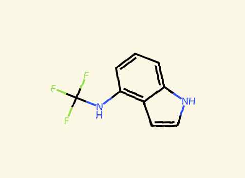 FC(F)(F)Nc1cccc2[nH]ccc12